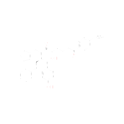 COc1ccc(C(=O)CCCCC(=O)C(CC2CCCC2)[C@H](CC=C2CCCCC2)[C@H](O)c2ccc(O)cc2)cc1